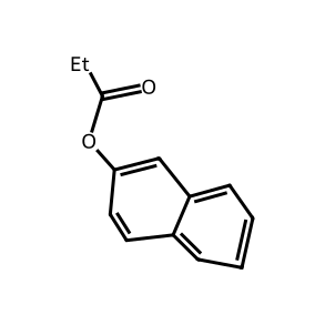 CCC(=O)Oc1ccc2ccccc2c1